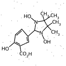 CC1(C)N(O)C(c2ccc(O)c(C(=O)O)c2)N(O)C1(C)C